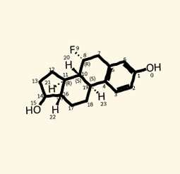 Oc1ccc2c(c1)C[C@@H](F)[C@H]1[C@@H]3CCC(O)[C@H]3CC[C@H]21